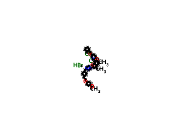 Br.COc1ccc(OCCc2ccc(CN3CCN(C(=O)C=C(C)c4cc(C)c(Oc5ccc(OCc6ccccc6Cl)cn5)c(Cl)c4)CC3)cc2)cc1